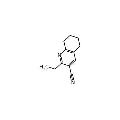 CCc1nc2c(cc1C#N)CCCC2